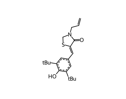 C=CCN1CS/C(=C\c2cc(C(C)(C)C)c(O)c(C(C)(C)C)c2)C1=O